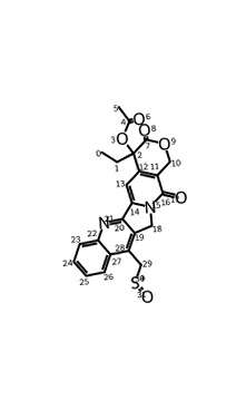 CCC1(OC(C)=O)C(=O)OCc2c1cc1n(c2=O)Cc2c-1nc1ccccc1c2C[S+]=O